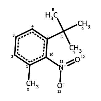 Cc1cccc(C(C)(C)C)c1[N+](=O)[O-]